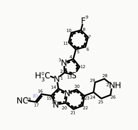 CN(c1nc(-c2ccc(F)cc2)cs1)c1c(/C=C/C#N)nc2ccc(C3CCNCC3)cn12